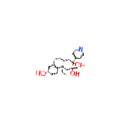 CCC12CC(C)(O)C(O)(c3ccncc3)CC1CCc1cc(O)ccc12